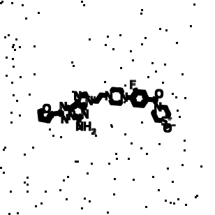 Nc1nc2c(ncn2CCN2CCN(c3ccc(C(=O)N4CC[S+]([O-])CC4)cc3F)CC2)c2nc(-c3ccco3)nn12